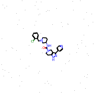 O=C(N[C@@H]1CCCN(Cc2ccccc2Cl)C1)N1CCc2[nH]nc(-c3ccncc3)c2C1